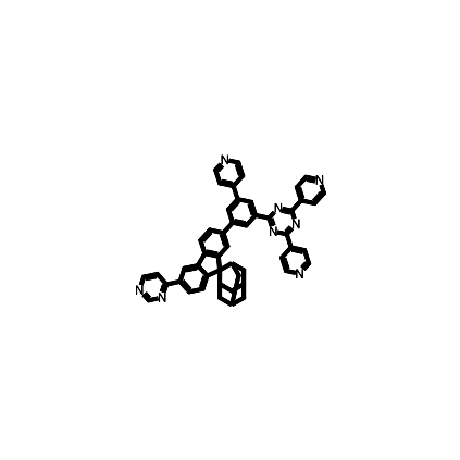 c1cc(-c2cc(-c3ccc4c(c3)C3(c5ccc(-c6ccncn6)cc5-4)C4CC5CC(C4)CC3C5)cc(-c3nc(-c4ccncc4)nc(-c4ccncc4)n3)c2)ccn1